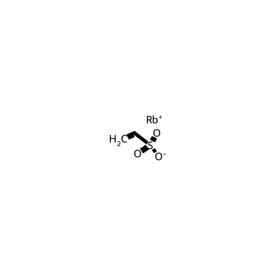 C=CS(=O)(=O)[O-].[Rb+]